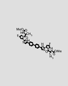 COC(=O)N[C@@H](C)C(=O)N1C[C@H](F)C[C@H]1c1ncc(-c2ccc(-c3ccc(-c4cnc([C@@H]5C[C@H](F)CN5C(=O)[C@H](C)NC(=O)OC)[nH]4)cc3)cc2)[nH]1